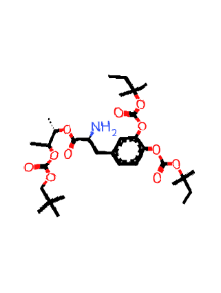 CCC(C)(C)OC(=O)Oc1ccc(C[C@H](N)C(=O)O[C@@H](C)C(C)OC(=O)OCC(C)(C)C)cc1OC(=O)OC(C)(C)CC